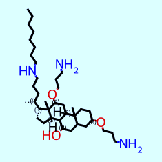 CCCCCCCCNCCC[C@@H](C)[C@H]1CC[C@H]2C3[C@H](O)CC4C[C@H](OCCCN)CCC4(C)[C@H]3C[C@H](OCCCN)C12C